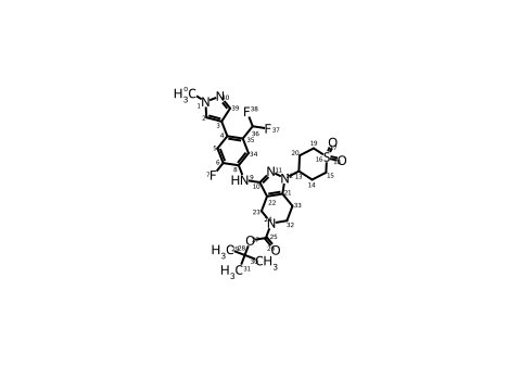 Cn1cc(-c2cc(F)c(Nc3nn(C4CCS(=O)(=O)CC4)c4c3CN(C(=O)OC(C)(C)C)CC4)cc2C(F)F)cn1